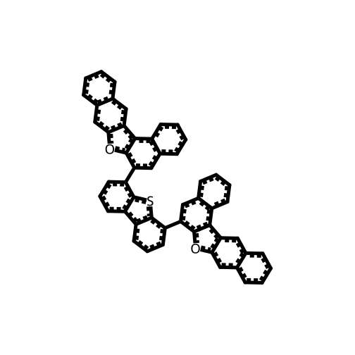 c1ccc2cc3c(cc2c1)oc1c(-c2cccc4c2sc2c(-c5cc6ccccc6c6c5oc5cc7ccccc7cc56)cccc24)cc2ccccc2c13